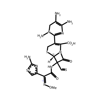 CO/N=C(\C(=O)NC1(C=S)C(=O)N2C(C(=O)O)=C(C3=NC(N)=C(N)CN3N)CS[C@H]21)c1csc(N)n1